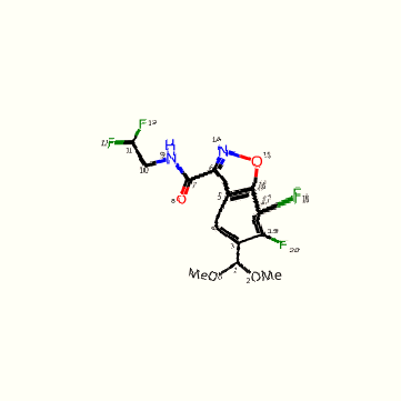 COC(OC)c1cc2c(C(=O)NCC(F)F)noc2c(F)c1F